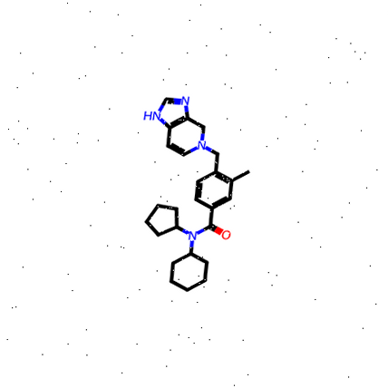 Cc1cc(C(=O)N(C2CCCCC2)C2CCCC2)ccc1CN1C=Cc2[nH]cnc2C1